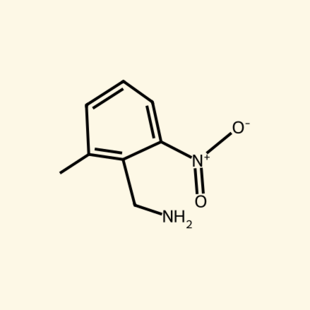 Cc1cccc([N+](=O)[O-])c1CN